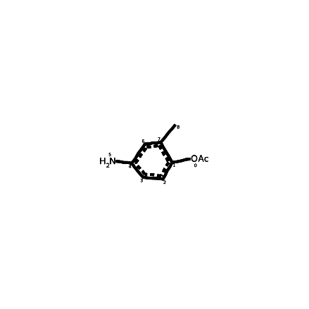 CC(=O)Oc1ccc(N)cc1C